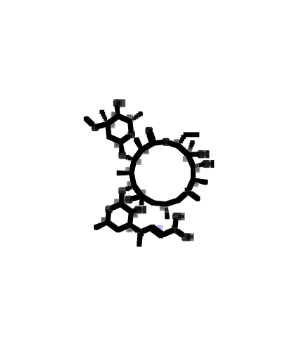 CC[C@H]1OC(=O)[C@H](C)[C@@H](O[C@H]2C[C@@](C)(OC)[C@@H](O)[C@H](C)O2)[C@H](C)[C@@H](O[C@@H]2O[C@H](C)C[C@H](N(C)/C=C/B(O)O)[C@H]2O)[C@](C)(O)C[C@@H](C)CN(C)[C@H](C)[C@@H](O)[C@]1(C)O